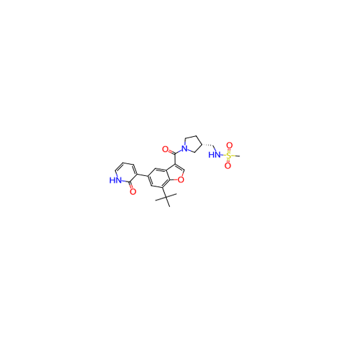 CC(C)(C)c1cc(-c2ccc[nH]c2=O)cc2c(C(=O)N3CC[C@H](CNS(C)(=O)=O)C3)coc12